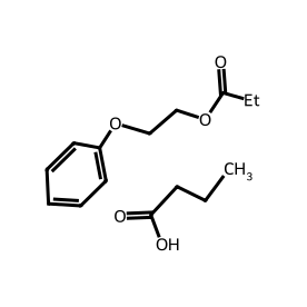 CCC(=O)OCCOc1ccccc1.CCCC(=O)O